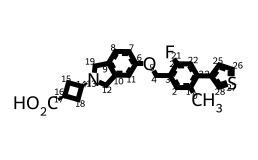 Cc1cc(COc2ccc3c(c2)CN([C@H]2C[C@H](C(=O)O)C2)C3)c(F)cc1-c1ccsc1